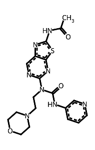 CC(=O)Nc1nc2cnc(N(CCN3CCOCC3)C(=O)Nc3cccnc3)nc2s1